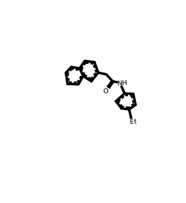 CCc1ccc(NC(=O)Cc2ccc3ccccc3c2)cc1